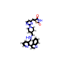 O=C1NC(=O)C(=Cc2ccnc(N3CCC(CNCc4cccnc4-c4ccnc5ccccc45)CC3)n2)S1